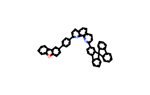 c1ccc2c(c1)-c1ccccc1C21c2ccccc2-c2ccc(-c3ccc4ccc5ccc(-c6ccc(-c7ccc8oc9ccccc9c8c7)cc6)nc5c4n3)cc21